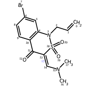 C=CCN1c2cc(Br)ccc2C(=O)/C(=C/N(C)C)S1(=O)=O